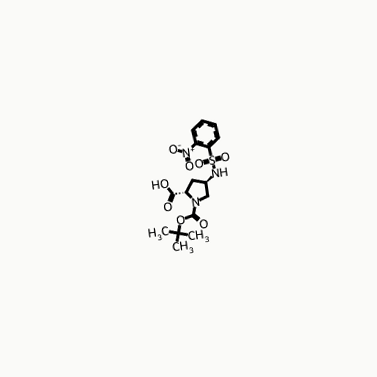 CC(C)(C)OC(=O)N1C[C@H](NS(=O)(=O)c2ccccc2[N+](=O)[O-])C[C@H]1C(=O)O